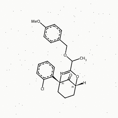 COc1ccc(COC(C)C2=N[C@@]3(c4ccccc4Cl)CCC[C@@H](O2)C3=O)cc1